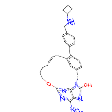 Nc1nc2nc3c1nc(O)n3Cc1ccc(-c3ccc(CNC4CCC4)cc3)c(c1)C/C=C\CCCO2